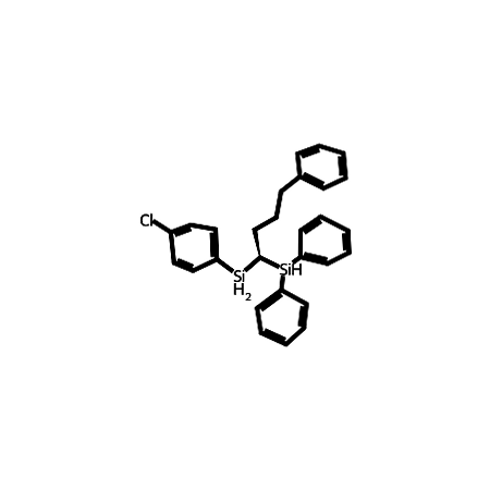 Clc1ccc([SiH2][C@@H](CCCc2ccccc2)[SiH](c2ccccc2)c2ccccc2)cc1